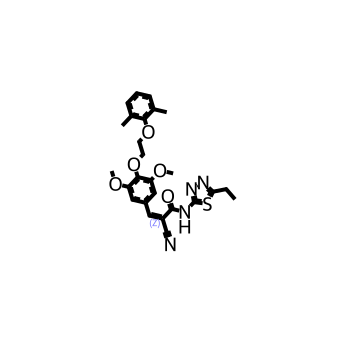 CCc1nnc(NC(=O)/C(C#N)=C\c2cc(OC)c(OCCOc3c(C)cccc3C)c(OC)c2)s1